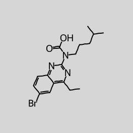 CCc1nc(N(CCCC(C)C)C(=O)O)nc2ccc(Br)cc12